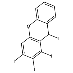 Ic1cc2c(c(I)c1I)C(I)c1ccccc1O2